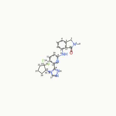 CN1Cc2cccc(Nc3cccc(-c4nncn4[C@H]4CCCC4(F)F)n3)c2C1=O